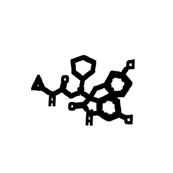 O=C(CN(C1CCCCC1)C1(Cc2cccc(Cl)c2)C(=O)Nc2cc(Cl)ccc21)NC1CC1